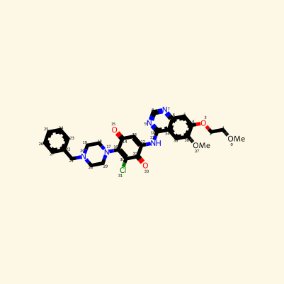 COCCOc1cc2ncnc(NC3=CC(=O)C(N4CCN(Cc5ccccc5)CC4)=C(Cl)C3=O)c2cc1OC